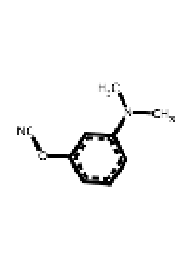 CN(C)c1cccc(OC#N)c1